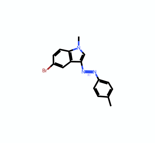 Cc1ccc(/N=N/c2cn(C)c3ccc(Br)cc23)cc1